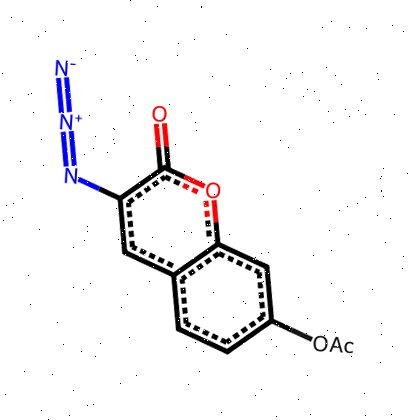 CC(=O)Oc1ccc2cc(N=[N+]=[N-])c(=O)oc2c1